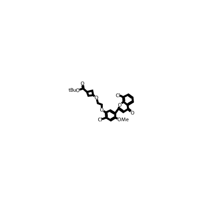 COc1cc(Cl)c(OCCOC2CC(C(=O)OC(C)(C)C)C2)cc1-c1cc(=O)c2cccc(Cl)c2o1